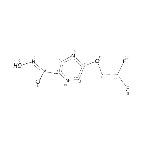 O/N=C(\Cl)c1cnc(OCC(F)F)cn1